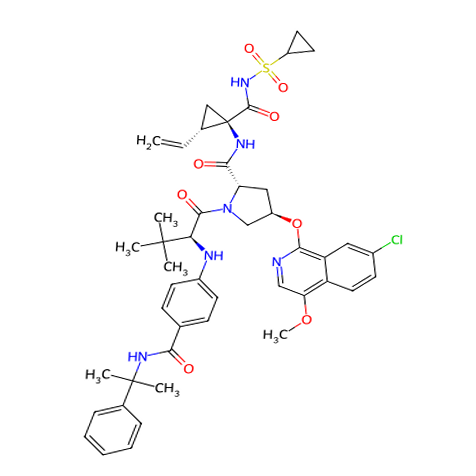 C=C[C@@H]1C[C@]1(NC(=O)[C@@H]1C[C@@H](Oc2ncc(OC)c3ccc(Cl)cc23)CN1C(=O)[C@@H](Nc1ccc(C(=O)NC(C)(C)c2ccccc2)cc1)C(C)(C)C)C(=O)NS(=O)(=O)C1CC1